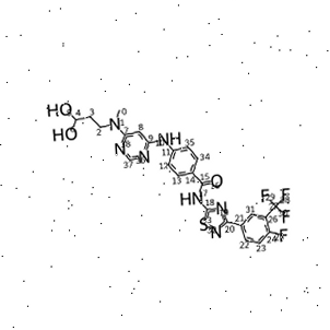 CN(CCC(O)O)c1cc(Nc2ccc(C(=O)Nc3nc(-c4ccc(F)c(C(F)(F)F)c4)ns3)cc2)ncn1